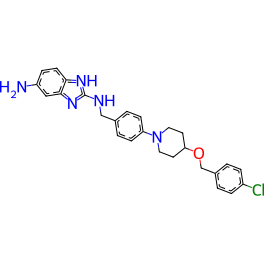 Nc1ccc2[nH]c(NCc3ccc(N4CCC(OCc5ccc(Cl)cc5)CC4)cc3)nc2c1